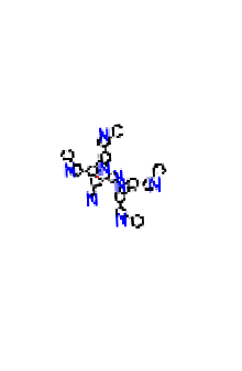 N#Cc1cccc(-c2cc(-n3c4ccc(-c5ccnc(-c6ccccc6)c5)cc4c4cc(-c5ccnc(-c6ccccc6)c5)ccc43)ncc2-n2c3ccc(-c4ccnc(-c5ccccc5)c4)cc3c3cc(-c4ccnc(-c5ccccc5)c4)ccc32)c1